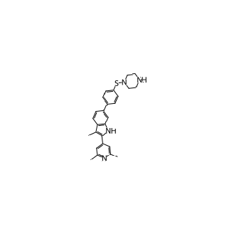 Cc1cc(-c2[nH]c3cc(-c4ccc(SN5CCNCC5)cc4)ccc3c2C)cc(C)n1